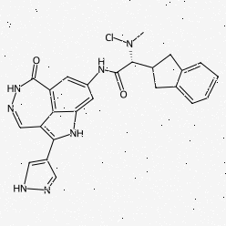 CN(Cl)[C@@H](C(=O)Nc1cc2c3c(c(-c4cn[nH]c4)[nH]c3c1)C=NNC2=O)C1Cc2ccccc2C1